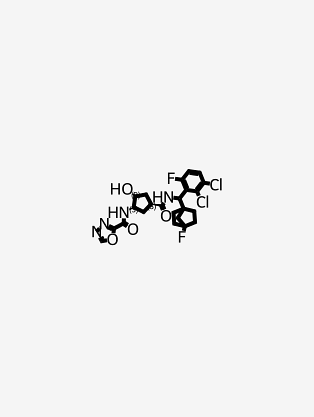 O=C(N[C@H]1C[C@H](C(=O)NC(c2c(F)ccc(Cl)c2Cl)C23CCC(F)(CC2)C3)C[C@H]1O)c1nnco1